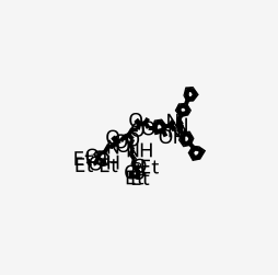 CCO[Si](CCCNC(=O)OCC(COC(=O)C(C)Oc1ccc(-c2nc(-c3ccc(-c4ccccc4)cc3)nc(-c3ccc(-c4ccccc4)cc3)n2)c(O)c1)OC(=O)NCCC[Si](OCC)(OCC)OCC)(OCC)OCC